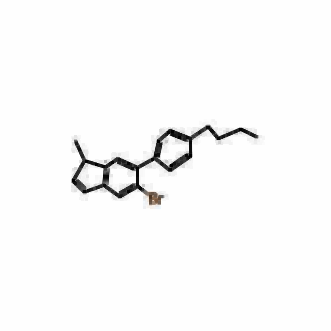 CCCCc1ccc(-c2cc3c(cc2Br)C=CC3C)cc1